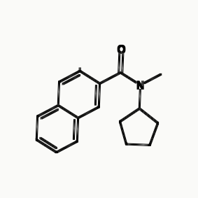 CN(C(=O)c1[c]cc2ccccc2c1)C1CCCC1